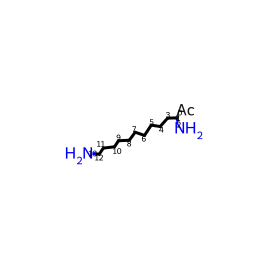 CC(=O)C(N)CCCCCCCCCCN